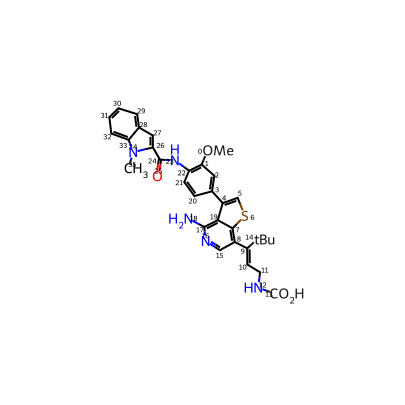 COc1cc(-c2csc3c(/C(=C/CNC(=O)O)C(C)(C)C)cnc(N)c23)ccc1NC(=O)c1cc2ccccc2n1C